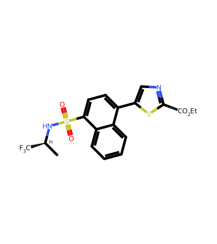 CCOC(=O)c1ncc(-c2ccc(S(=O)(=O)N[C@@H](C)C(F)(F)F)c3ccccc23)s1